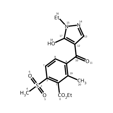 CCOC(=O)c1c(S(C)(=O)=O)ccc(C(=O)c2cnn(CC)c2O)c1C